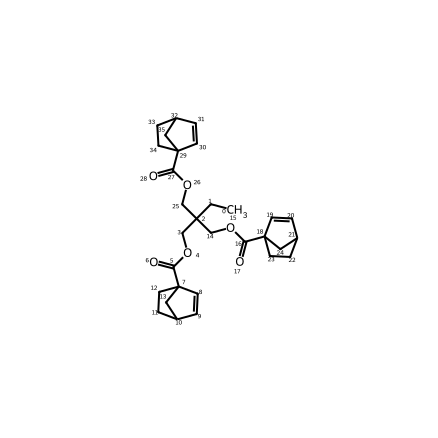 CCC(COC(=O)C12C=CC(CC1)C2)(COC(=O)C12C=CC(CC1)C2)COC(=O)C12C=CC(CC1)C2